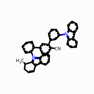 CC1CC=Cc2c1n(-c1ccccc1-c1ccc(C#N)c(-c3cccc(-n4c5ccccc5c5ccccc54)c3)c1)c1ccccc21